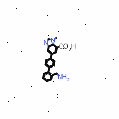 CN1C=NC2C=C(c3ccc(-c4ccccc4CN)cc3)C=C(C(=O)O)C21